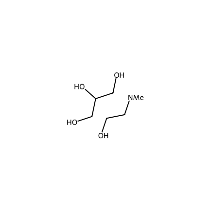 CNCCO.OCC(O)CO